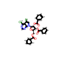 O=C(OC[C@H]1O[C@@H](n2cc(Br)c3c(Cl)ncnc32)[C@H](OC(=O)c2ccccc2)[C@@H]1OC(=O)c1ccccc1)c1ccccc1